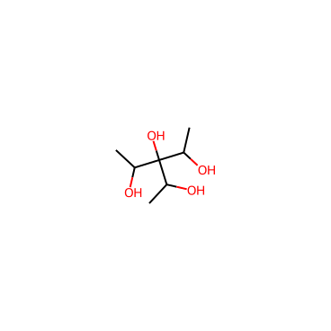 CC(O)C(O)(C(C)O)C(C)O